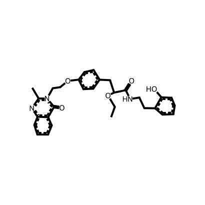 CCOC(Cc1ccc(OCCn2c(C)nc3ccccc3c2=O)cc1)C(=O)NCCc1ccccc1O